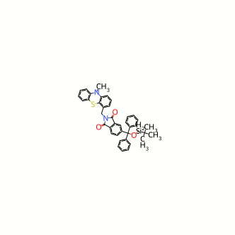 CN1c2ccccc2Sc2c(CN3C(=O)c4ccc(C(O[SiH2]C(C)(C)C)(c5ccccc5)c5ccccc5)cc4C3=O)cccc21